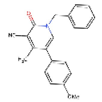 COc1ccc(-c2cn(Cc3ccccc3)c(=O)c(C#N)c2C)cc1